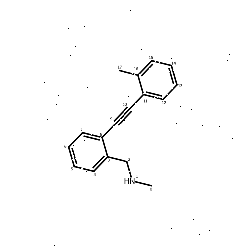 CNCc1ccccc1C#Cc1ccccc1C